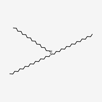 CCCCCCCCCCCCCCCC[SiH](CCCCCCCCCCCCCCCC)CCCCCCCCCCCCCCCC